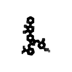 CN1CCN(Cc2nn(Cc3ccccc3C(F)F)c3c2CN(c2cnn(C4CCCCO4)c(=O)c2Cl)CC3)C(=O)C1